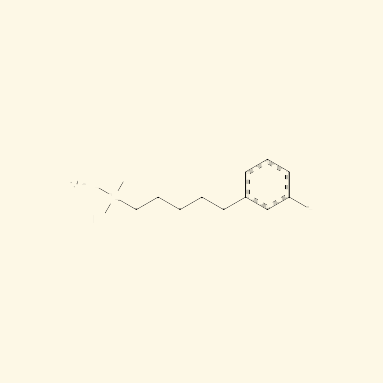 CC[Si](CC)(CCCCCc1cccc(F)c1)OC